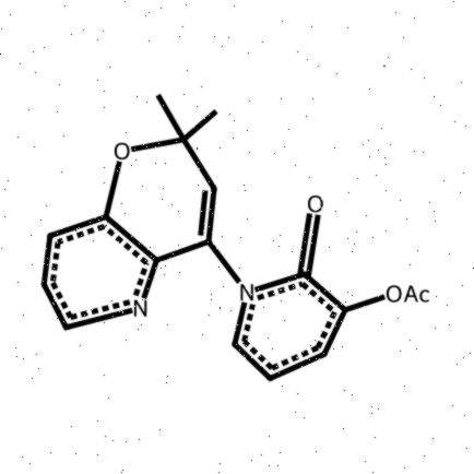 CC(=O)Oc1cccn(C2=CC(C)(C)Oc3cccnc32)c1=O